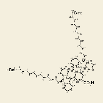 CCCCCCCCCCCCCCCCCCCCCCOc1ccccc1Cc1cc(C(=O)O)cc(Cc2ccccc2OCCCCCCCCCCCCCCCCCCCCCC)c1P(c1ccccc1)c1ccccc1